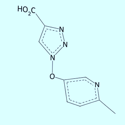 Cc1ccc(On2cc(C(=O)O)nn2)cn1